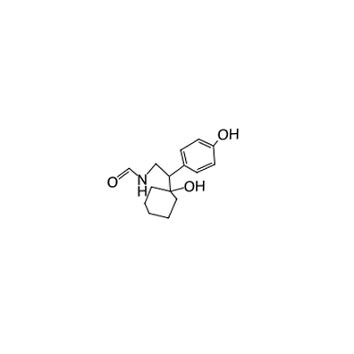 O=CNCC(c1ccc(O)cc1)C1(O)CCCCC1